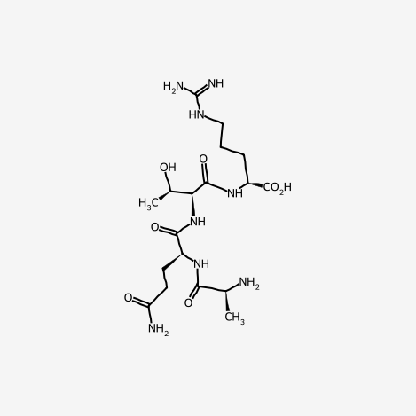 C[C@H](N)C(=O)N[C@@H](CCC(N)=O)C(=O)N[C@H](C(=O)N[C@@H](CCCNC(=N)N)C(=O)O)[C@@H](C)O